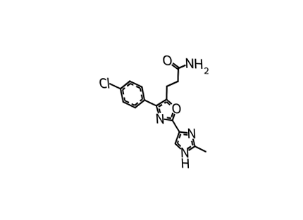 Cc1nc(-c2nc(-c3ccc(Cl)cc3)c(CCC(N)=O)o2)c[nH]1